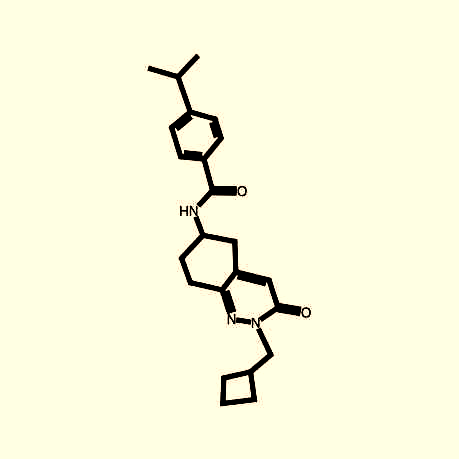 CC(C)c1ccc(C(=O)NC2CCc3nn(CC4CCC4)c(=O)cc3C2)cc1